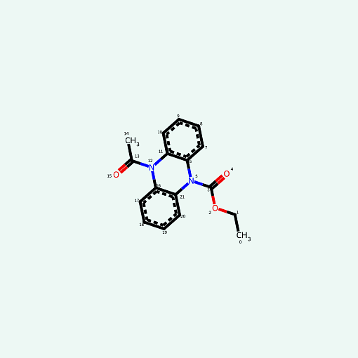 CCOC(=O)N1c2ccccc2N(C(C)=O)c2ccccc21